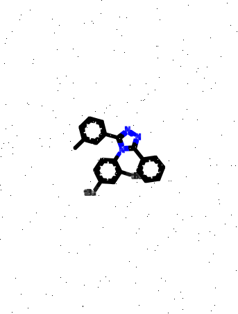 Cc1cccc(-c2nnc(-c3ccccc3)n2-c2ccc(C(C)(C)C)cc2C(C)(C)C)c1